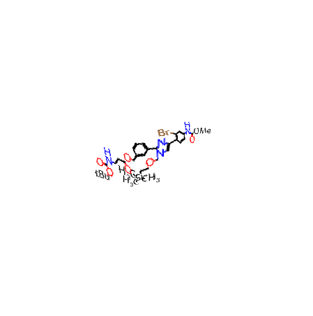 COC(=O)Nc1ccc(-c2cn(COCC[Si](C)(C)C)c(-c3cccc(COC(=O)CCNC(=O)OC(C)(C)C)c3)n2)c(Br)c1